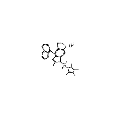 CC1=Cc2c(cc3c(c2-c2cccc4ccccc24)CCC3)C1[Si](C)(C)C1C(C)=C(C)C(C)=C1C.[Li].[Li]